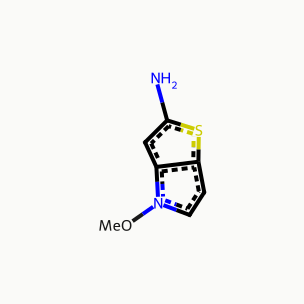 COn1ccc2sc(N)cc21